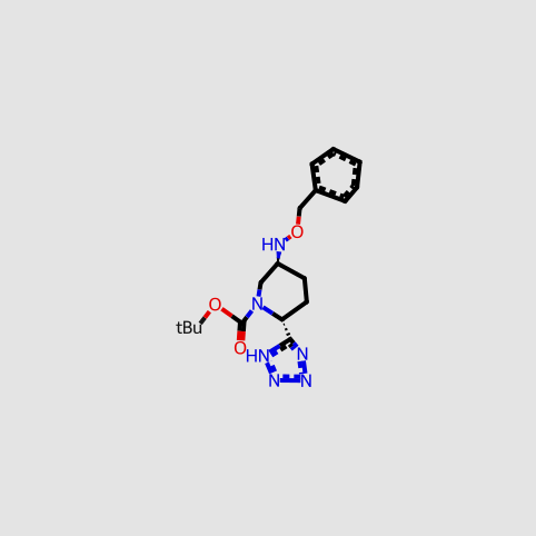 CC(C)(C)OC(=O)N1C[C@@H](NOCc2ccccc2)CC[C@@H]1c1nnn[nH]1